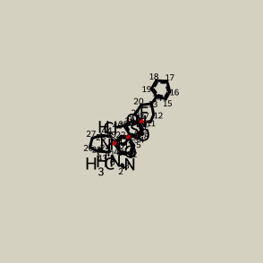 Cn1cnc2cc(S(=O)(=O)N3CCC(c4ccccc4)CC3)cc(N3[C@@H]4CC[C@H]3CN(C(=O)c3ccc(F)cc3Cl)C4)c21